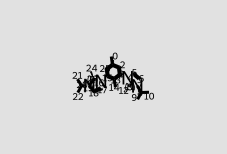 Cc1cc(N2C=CN(C(C)C)[C@@H]2C)c(C)c(N2C=CN(C(C)C)[C@H]2C)c1